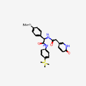 COc1ccc(C(NC(=O)Cc2ccc(=O)[nH]c2)C(=O)Nc2ccc(S(C)(C)C)cc2)cc1